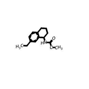 CCc1ccc2c(c1)C(NC(=O)OC)CCC2